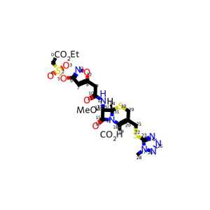 CCOC(=O)CS(=O)(=O)Oc1cc(CC(=O)N[C@]2(OC)C(=O)N3C(C(=O)O)=C(CSc4nnnn4C)CS[C@H]32)on1